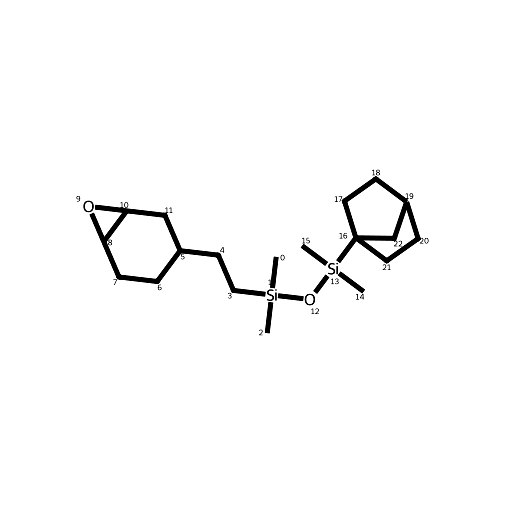 C[Si](C)(CCC1CCC2OC2C1)O[Si](C)(C)C12CCC(CC1)C2